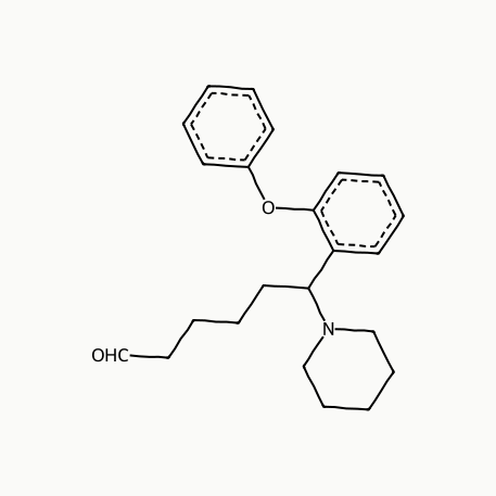 O=CCCCCC(c1ccccc1Oc1ccccc1)N1CCCCC1